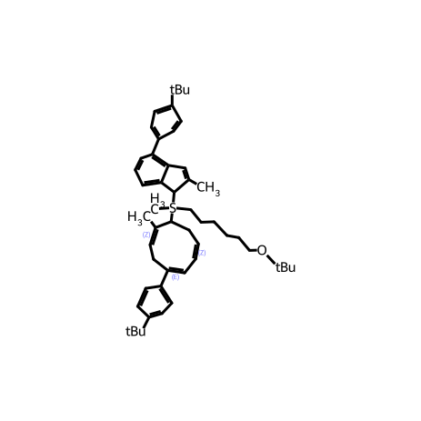 CC1=Cc2c(-c3ccc(C(C)(C)C)cc3)cccc2C1S(C)(CCCCCCOC(C)(C)C)C1C/C=C\C=C(\c2ccc(C(C)(C)C)cc2)C/C=C\1C